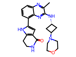 Cc1nc2cccc(-c3cc4c([nH]3)CCNC4=O)c2nc1N[C@H]1C[C@H](N2CCOCC2)C1